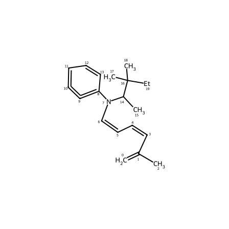 C=C(C)/C=C\C=C/N(C1=C=C=CC=C1)C(C)C(C)(C)CC